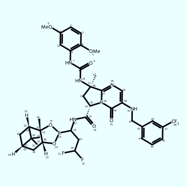 COc1ccc(OC)c(NC(=O)N[C@]2(C)C[C@@H](C(=O)NC(CC(F)F)B3O[C@@H]4C[C@@H]5C[C@@H](C5(C)C)[C@]4(C)O3)n3c2ncc(NCc2cccc(C(F)(F)F)c2)c3=O)c1